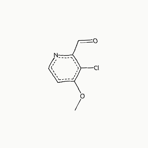 COc1ccnc(C=O)c1Cl